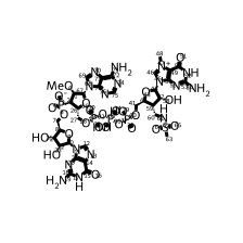 CO[C@@H]1[C@H](P(=O)([O-])OC[C@H]2O[C@@H](n3cnc4c(=O)[nH]c(N)nc43)[C@H](O)[C@@H]2O)[C@@H](COP(=O)(O)OP(=O)(O)OP(=O)(O)OC[C@H]2O[C@@H](n3c[n+](C)c4c(=O)[nH]c(N)nc43)[C@H](O)[C@@H]2CNS(C)(=O)=O)O[C@H]1n1cnc2c(N)ncnc21